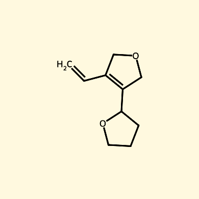 C=CC1=C(C2CCCO2)COC1